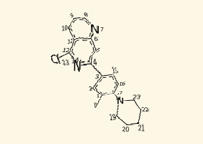 Cc1cc(-c2cc3ncccc3c(Cl)n2)ccc1N1CCCCC1